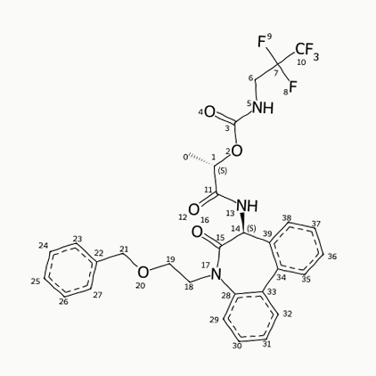 C[C@H](OC(=O)NCC(F)(F)C(F)(F)F)C(=O)N[C@@H]1C(=O)N(CCOCc2ccccc2)c2ccccc2-c2ccccc21